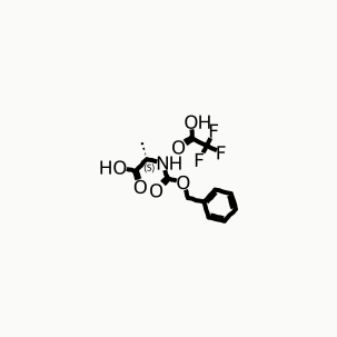 C[C@H](NC(=O)OCc1ccccc1)C(=O)O.O=C(O)C(F)(F)F